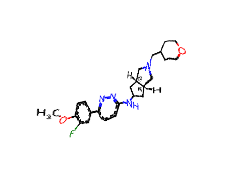 COc1ccc(-c2ccc(NC3C[C@@H]4CN(CC5CCOCC5)C[C@@H]4C3)nn2)cc1F